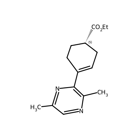 CCOC(=O)[C@@H]1CC=C(c2nc(C)cnc2C)CC1